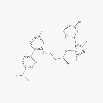 Cc1nn(C)c(O[C@@H](C)CCNc2cc(Cl)ncc2-c2ccc(C(F)F)cn2)c1-c1nccc(N)n1